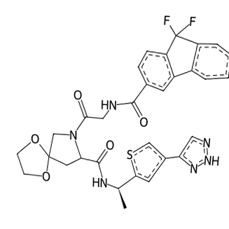 C[C@@H](NC(=O)C1CC2(CN1C(=O)CNC(=O)c1ccc3c(c1)-c1ccccc1C3(F)F)OCCO2)c1cc(-c2cn[nH]n2)cs1